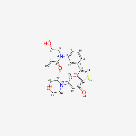 C=CC(=O)N(CCO)c1cccc(-c2csc3c(=O)cc(N4CCOCC4)oc23)c1